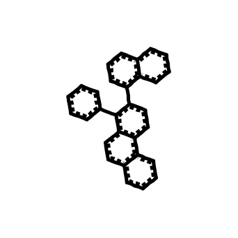 c1ccc(-c2c(-c3cccc4ccccc34)ccc3c2ccc2ccccc23)cc1